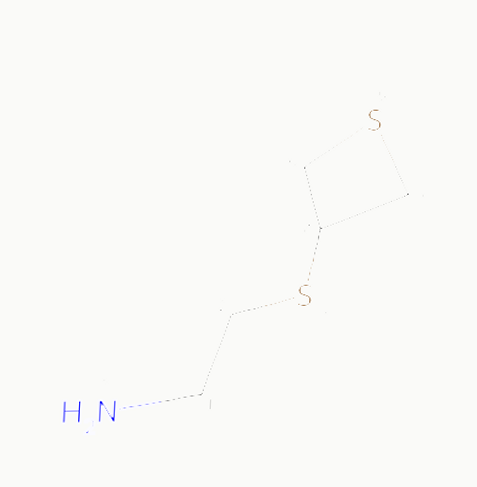 NCCSC1CSC1